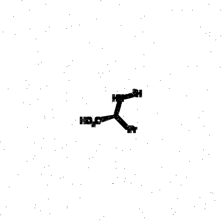 [2H]N[C@H](C(=O)O)C(C)C